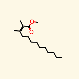 CCCCCCCCCCC(C)=C(C)C(=O)OC